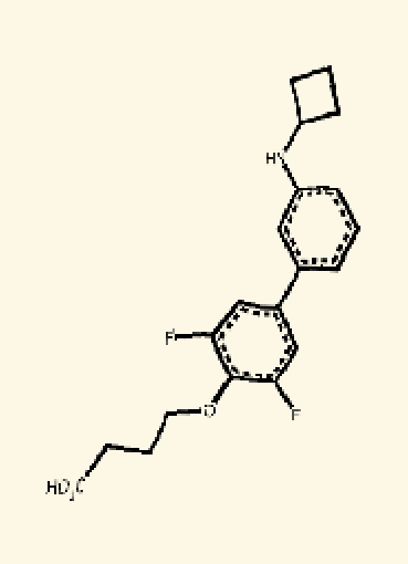 O=C(O)CCCOc1c(F)cc(-c2cccc(NC3CCC3)c2)cc1F